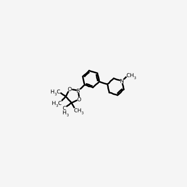 CN1C=CCC(c2cccc(B3OC(C)(C)C(C)(C)O3)c2)C1